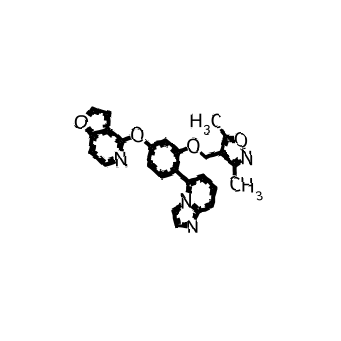 Cc1noc(C)c1COc1cc(Oc2nccc3occc23)ccc1-c1cccc2nccn12